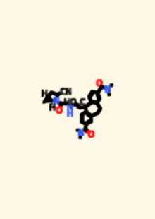 CN(C)C(=O)c1ccc2c(c1)CCc1cc(C(=O)N(C)C)ccc1C2(CCNCC(=O)N1C(C#N)C[C@@H]2C[C@@H]21)C(=O)O